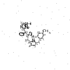 Cc1ccc(Cc2ccc(CC(=O)C(=O)c3nc[nH]n3)[nH]2)cc1